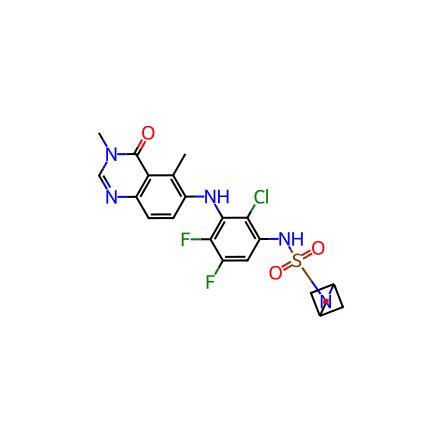 Cc1c(Nc2c(F)c(F)cc(NS(=O)(=O)N3CC4CC3C4)c2Cl)ccc2ncn(C)c(=O)c12